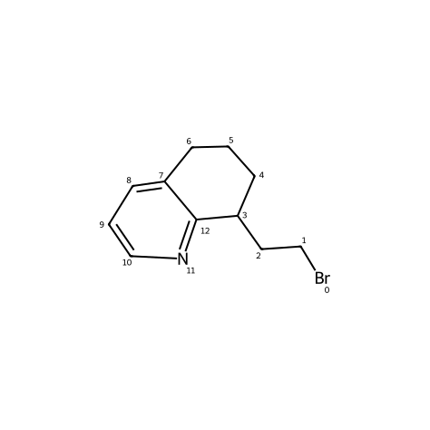 BrCCC1CCCc2cccnc21